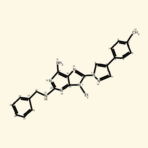 CCn1c(-n2cc(-c3ccc(C)cc3)cn2)nc2c(N)nc(NCc3ccccc3)nc21